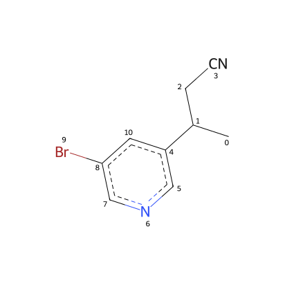 CC(CC#N)c1cncc(Br)c1